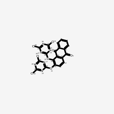 O=C1c2ccccc2C(=O)c2c1ccc(Oc1nc(Cl)nc(Cl)n1)c2Oc1nc(Cl)nc(Cl)n1